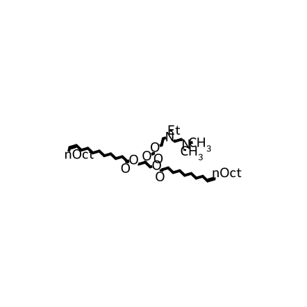 CCCCCCCC/C=C\CCCCCCCCC(=O)OCC(COC(=O)CCCCCCC/C=C\CCCCCCCC)OC(=O)OCCN(CC)CCN(C)C